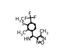 CSc1c(C(F)(F)F)ccc(C(=N)c2nonc2C)c1C